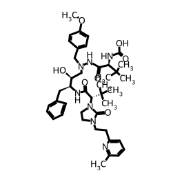 COc1ccc(CN(C[C@H](O)[C@H](Cc2ccccc2)NC(=O)[C@@H](N2CCN(CCc3cccc(C)n3)C2=O)C(C)(C)C)NC(=O)[C@@H](NC(=O)O)C(C)(C)C)cc1